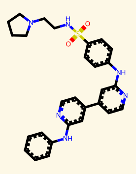 O=S(=O)(NCCN1CCCC1)c1ccc(Nc2cc(-c3ccnc(Nc4ccccc4)c3)ccn2)cc1